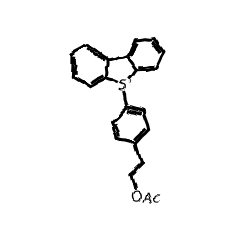 CC(=O)OCCc1ccc(-[s+]2c3ccccc3c3ccccc32)cc1